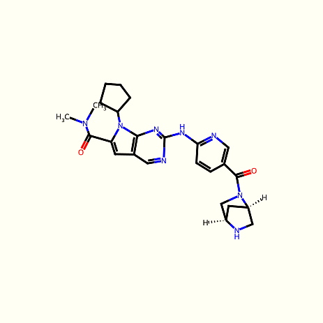 CN(C)C(=O)c1cc2cnc(Nc3ccc(C(=O)N4C[C@H]5C[C@@H]4CN5)cn3)nc2n1C1CCCC1